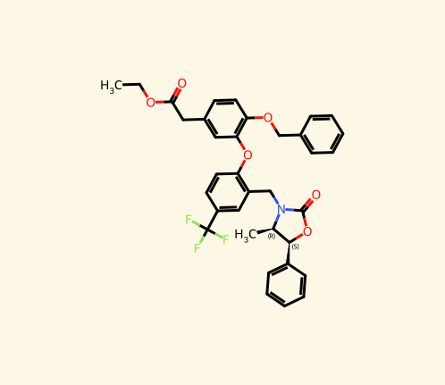 CCOC(=O)Cc1ccc(OCc2ccccc2)c(Oc2ccc(C(F)(F)F)cc2CN2C(=O)O[C@@H](c3ccccc3)[C@H]2C)c1